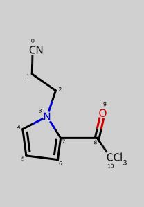 N#CCCn1cccc1C(=O)C(Cl)(Cl)Cl